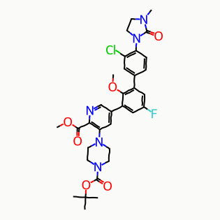 COC(=O)c1ncc(-c2cc(F)cc(-c3ccc(N4CCN(C)C4=O)c(Cl)c3)c2OC)cc1N1CCN(C(=O)OC(C)(C)C)CC1